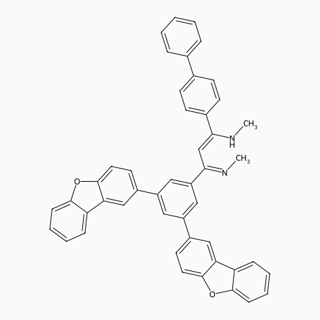 C/N=C(\C=C(/NC)c1ccc(-c2ccccc2)cc1)c1cc(-c2ccc3oc4ccccc4c3c2)cc(-c2ccc3oc4ccccc4c3c2)c1